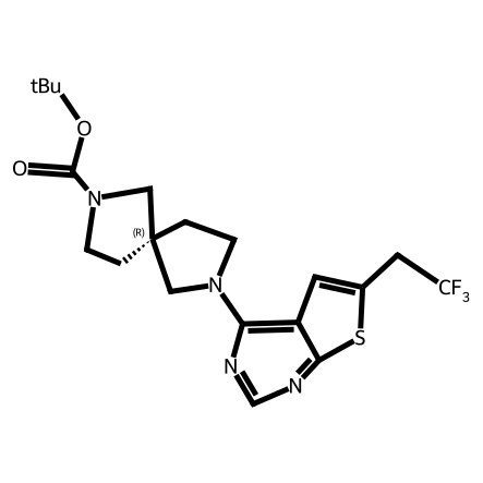 CC(C)(C)OC(=O)N1CC[C@@]2(CCN(c3ncnc4sc(CC(F)(F)F)cc34)C2)C1